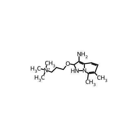 CC1=C(C)N2NC(OCCC[N+](C)(C)C)C(N)=C2C=C1